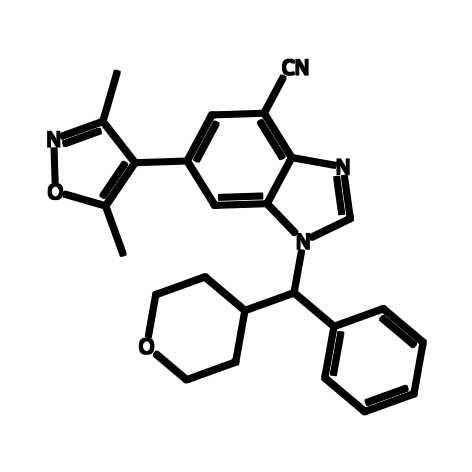 Cc1noc(C)c1-c1cc(C#N)c2ncn(C(c3ccccc3)C3CCOCC3)c2c1